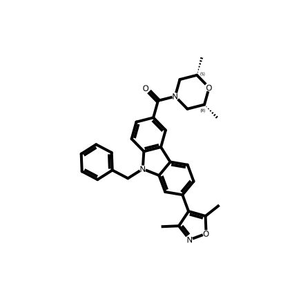 Cc1noc(C)c1-c1ccc2c3cc(C(=O)N4C[C@@H](C)O[C@@H](C)C4)ccc3n(Cc3ccccc3)c2c1